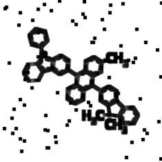 Cc1ccc2c(-c3ccc4c(c3)c3c(p4-c4ccccc4)C=CCC3)c3ccccc3c(-c3ccc4c(c3)C(C)(C)c3ccccc3-4)c2c1